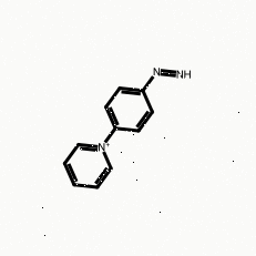 N=Nc1ccc(-[n+]2ccccc2)cc1